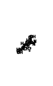 Cc1c(COc2cc(OCc3cncc(C#N)c3)c(CNCCCC(=O)O)cc2Cl)cccc1-c1cccc(-c2ccc3c(c2)c(C)nn3CCNCCCC(=O)O)c1C